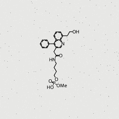 COP(=O)(O)OCCCCNC(=O)Cc1cnc2c(CCO)cccc2c1-c1ccccc1